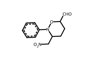 O=CC1CCC(C[N+](=O)[O-])N(c2ccccc2)O1